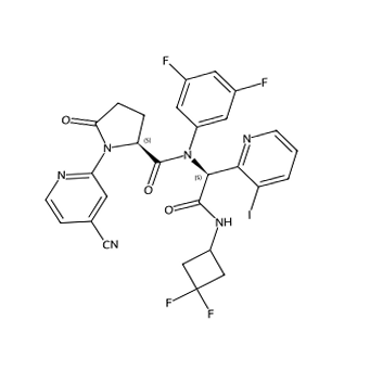 N#Cc1ccnc(N2C(=O)CC[C@H]2C(=O)N(c2cc(F)cc(F)c2)[C@H](C(=O)NC2CC(F)(F)C2)c2ncccc2I)c1